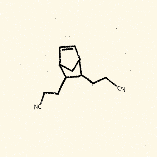 N#CCCC1C2C=CC(C2)C1CCC#N